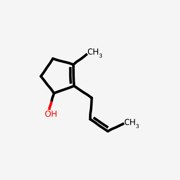 C/C=C\CC1=C(C)CCC1O